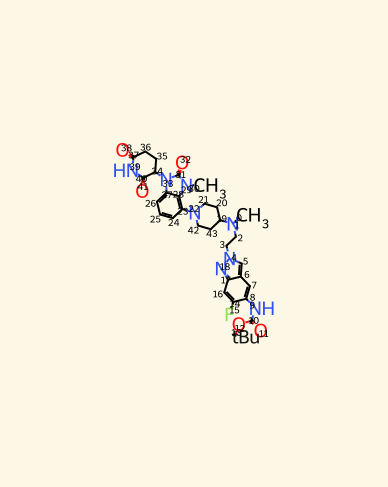 CN(CCn1cc2cc(NC(=O)OC(C)(C)C)c(F)cc2n1)C1CCN(c2cccc3c2n(C)c(=O)n3C2CCC(=O)NC2=O)CC1